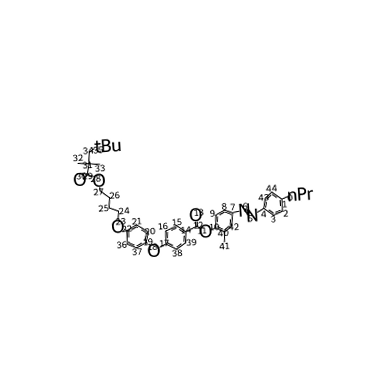 CCCc1ccc(N=Nc2ccc(OC(=O)c3ccc(Oc4ccc(OCCCCOC(=O)C(C)(C)CC(C)(C)C)cc4)cc3)c(C)c2)cc1